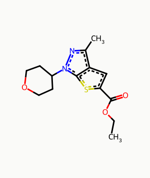 CCOC(=O)c1cc2c(C)nn(C3CCOCC3)c2s1